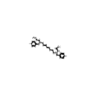 CC(=O)CCN(CCCCCCCCN(CCC(C)=O)Cc1ccccc1)Cc1ccccc1